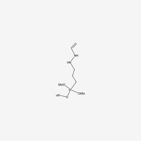 C=CNNCCC[Si](OC)(OC)OCCC